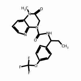 CCC(NC(=O)N1CC(=O)N(C)c2cccnc21)c1ccc(OC(F)(F)F)cc1